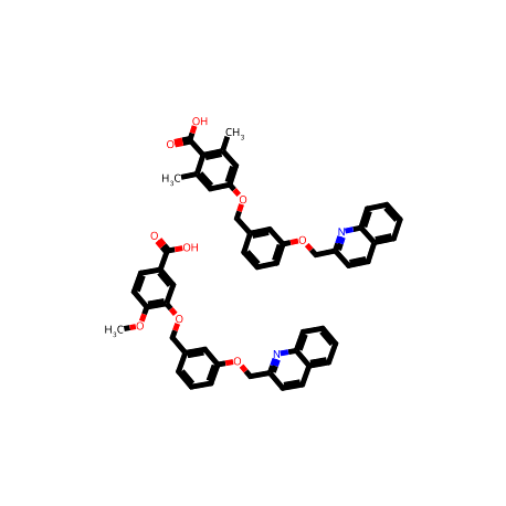 COc1ccc(C(=O)O)cc1OCc1cccc(OCc2ccc3ccccc3n2)c1.Cc1cc(OCc2cccc(OCc3ccc4ccccc4n3)c2)cc(C)c1C(=O)O